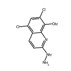 NNc1ccc2c(Cl)cc(Cl)c(O)c2n1